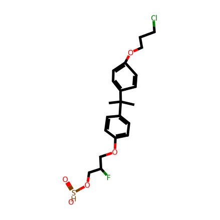 CC(C)(c1ccc(OCCCCl)cc1)c1ccc(OCC(F)CO[SH](=O)=O)cc1